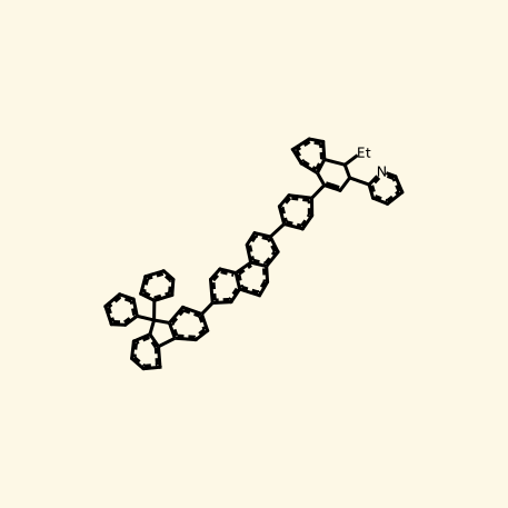 CCC1c2ccccc2C(c2ccc(-c3ccc4c(ccc5cc(-c6ccc7c(c6)C(c6ccccc6)(c6ccccc6)c6ccccc6-7)ccc54)c3)cc2)=CC1c1ccccn1